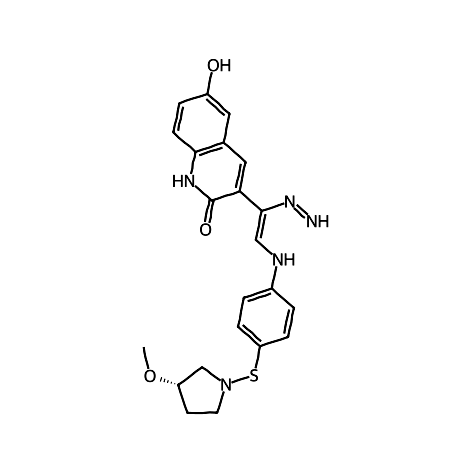 CO[C@H]1CCN(Sc2ccc(N/C=C(\N=N)c3cc4cc(O)ccc4[nH]c3=O)cc2)C1